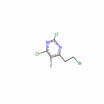 Fc1c(Cl)nc(Cl)nc1CCBr